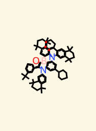 CC(C)(C)c1ccc2oc3c(c2c1)N(c1ccc2c(c1)C(C)(C)CCC2(C)C)c1cc(C2CCCCC2)cc2c1B3c1cc3c(cc1N2c1cc2c(cc1C1=CC=CCC1)C(C)(C)CCC2(C)C)C(C)(C)CCC3(C)C